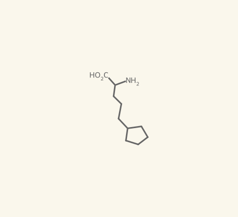 NC(CCCC1CCCC1)C(=O)O